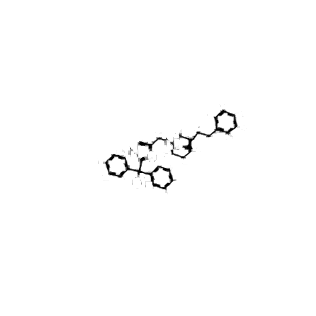 OC(c1ccccc1)(c1ccccc1)c1ncc(C[N+]23CCC(CC2)C(CCc2ccccc2)C3)o1